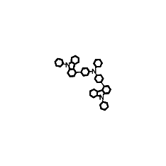 c1ccc(N(c2ccc(-c3cccc4c3c3ccccc3n4-c3ccccc3)cc2)c2ccc(-c3cccc4c3c3ccccc3n4-c3ccccc3)cc2)cc1